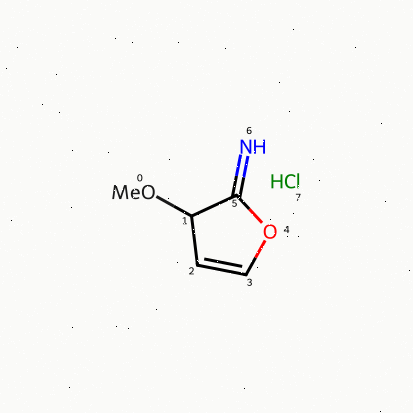 COC1C=COC1=N.Cl